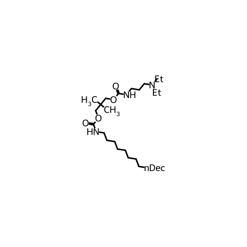 CCCCCCCCCCCCCCCCCCNC(=O)OCC(C)(C)COC(=O)NCCCN(CC)CC